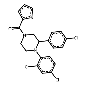 O=C(c1cccs1)N1CCN(c2ccc(Cl)cc2Cl)C(c2ccc(Cl)cc2)C1